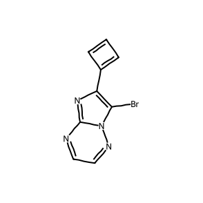 Brc1c(C2=CC=C2)nc2nccnn12